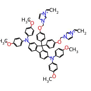 C=C[n+]1ccn(COc2ccc(C3(c4ccc(OCn5cc[n+](C=C)c5)cc4)c4cc(N(c5ccc(OC)cc5)c5ccc(OC)cc5)ccc4-c4ccc(N(c5ccc(OC)cc5)c5ccc(OC)cc5)cc43)cc2)c1